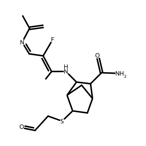 C=C(C)/N=C\C(F)=C(/C)NC1C2CC(CC2SCC=O)C1C(N)=O